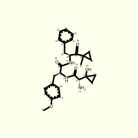 COc1ccc(C[C@H](NC(=O)[C@@H](N)C2(O)CC2)C(=O)N[C@@H](Cc2ccccc2)C(=O)C2(C)CC2)cc1